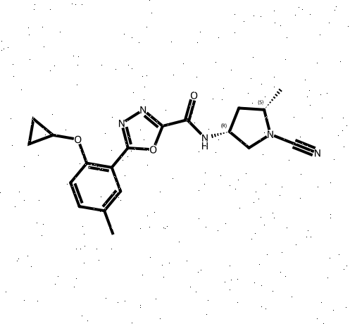 Cc1ccc(OC2CC2)c(-c2nnc(C(=O)N[C@@H]3C[C@H](C)N(C#N)C3)o2)c1